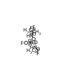 CC(C)(OC(=O)Nc1ccc2c(c1)N(S(=O)(=O)c1ccc(F)cc1)C[C@H](CNC(=O)C1(C)CC1(F)F)O2)C(F)(F)F